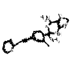 Cc1cc(C#Cc2ccccn2)ccc1C1(N)N=C(N)c2[nH]cnc2N1